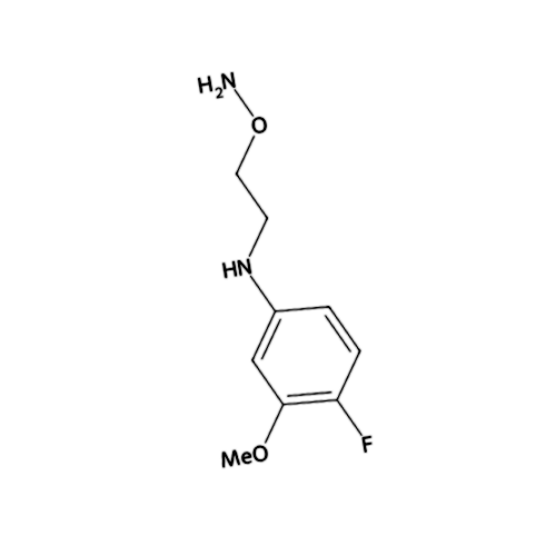 COc1cc(NCCON)ccc1F